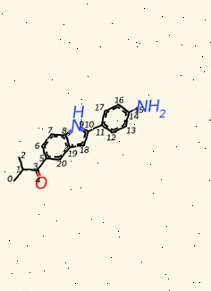 CC(C)C(=O)c1ccc2[nH]c(-c3ccc(N)cc3)cc2c1